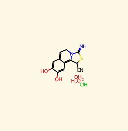 Cl.N#CC1SC(=N)N2CC=c3cc(O)c(O)cc3=C12.O.O